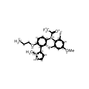 COc1cc(F)c(N(C(=O)C(F)(F)F)c2ccc(OCCN)c(-c3ccnn3C)c2)c(F)c1